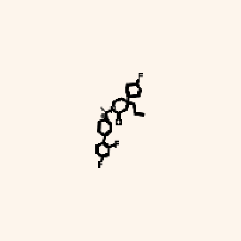 C=CCC1(c2ccc(F)cc2)CCN([C@@H](C)c2ccc(-c3ccc(F)cc3F)cc2)C(=O)C1